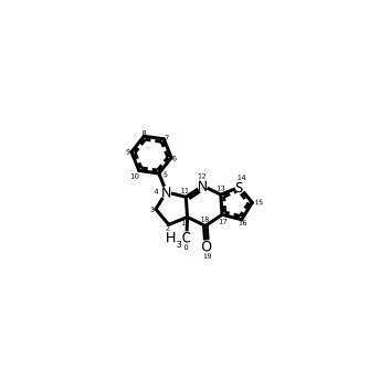 CC12CCN(c3ccccc3)C1=Nc1sccc1C2=O